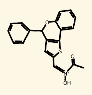 CC(=O)/[N+](O)=C\c1cc2c(s1)-c1ccccc1OC2c1ccccc1